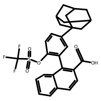 O=C(O)c1ccc2ccccc2c1-c1cc(C23CC4CC(CC(C4)C2)C3)ccc1OS(=O)(=O)C(F)(F)F